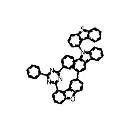 c1ccc(-c2nc(-c3ccccc3)nc(-c3cccc4oc5ccc(-c6ccc7c(c6)c6ccccc6n7-c6cccc7sc8ccccc8c67)cc5c34)n2)cc1